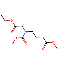 CCOC(=O)CCCN(CC(=O)OCC)C(=O)OC